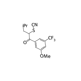 COc1cc(C(=O)C(CC(C)C)SC#N)cc(C(F)(F)F)c1